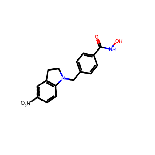 O=C(NO)c1ccc(CN2CCc3cc([N+](=O)[O-])ccc32)cc1